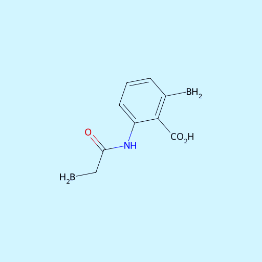 BCC(=O)Nc1cccc(B)c1C(=O)O